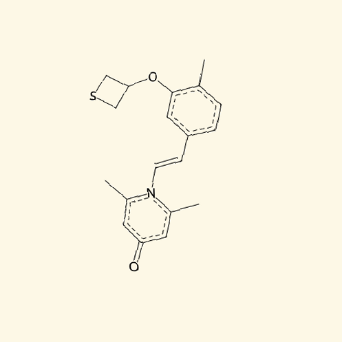 Cc1ccc(/C=C/n2c(C)cc(=O)cc2C)cc1OC1CSC1